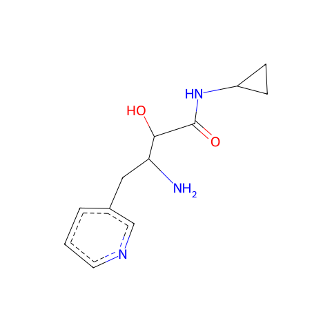 NC(Cc1cccnc1)C(O)C(=O)NC1CC1